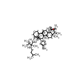 CC(C)CCN[C@](C)(CO[C@H]1[C@H](n2nnc(N)n2)C[C@@]23COC[C@]1(C)[C@@H]2CC[C@H]1C3=CC[C@@]2(C)[C@H](C(=O)O)[C@@](C)([C@H](C)C(C)C)CC[C@]12C)C(C)C